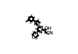 Cc1cccc(-c2ccn(-c3cc(N4CCOCC4)nc(C(O)CC#N)n3)n2)c1